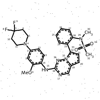 COc1cc(N2CCC(F)(F)CC2)ccc1Nc1ncc2ccc(-c3ccccc3N(C)S(C)(=O)=O)n2n1